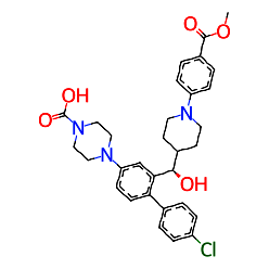 COC(=O)c1ccc(N2CCC([C@@H](O)c3cc(N4CCN(C(=O)O)CC4)ccc3-c3ccc(Cl)cc3)CC2)cc1